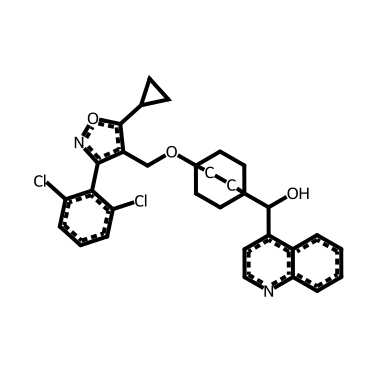 OC(c1ccnc2ccccc12)C12CCC(OCc3c(-c4c(Cl)cccc4Cl)noc3C3CC3)(CC1)CC2